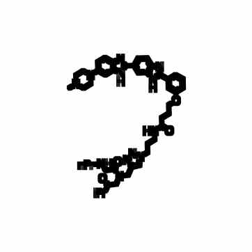 CCCNCC(=O)N(CC(=O)C(C)C)Cc1cn(CCCNC(=O)CCCOc2cccc(-c3nc4ccc(-c5nc6ccc(N7CCN(C)CC7)cc6[nH]5)cc4[nH]3)c2)nn1